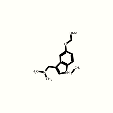 CI.COCOc1ccc2[nH]cc(CN(C)C)c2c1